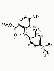 COC(=O)c1ccc(Cl)cc1Nc1ccc(C(C)Br)cc1[N+](=O)[O-]